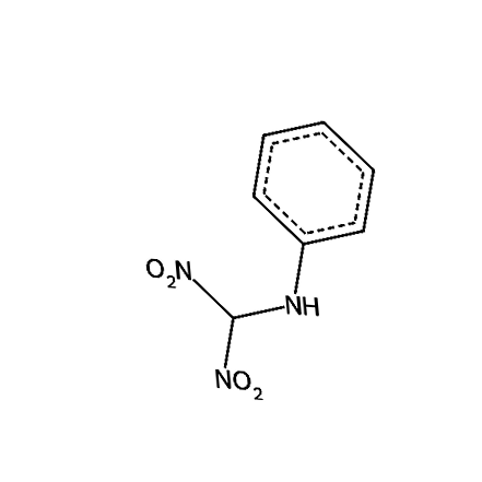 O=[N+]([O-])C(Nc1ccccc1)[N+](=O)[O-]